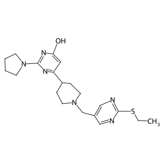 CCSc1ncc(CN2CCC(c3cc(O)nc(N4CCCC4)n3)CC2)cn1